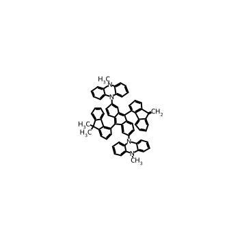 C=C1c2ccccc2-c2c1cccc2-c1c2cc(N3c4ccccc4N(C)c4ccccc43)ccc2c(-c2cccc3c2-c2ccccc2C3(C)C)c2cc(N3c4ccccc4N(C)c4ccccc43)ccc12